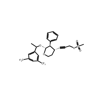 CC(O[C@H]1OCC[C@@H](C#CCOS(C)(=O)=O)[C@@H]1c1ccccc1)c1cc(C(F)(F)F)cc(C(F)(F)F)c1